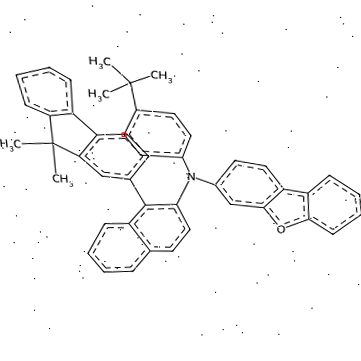 CC(C)(C)c1ccc(N(c2ccc3c(c2)oc2ccccc23)c2ccc3ccccc3c2-c2ccc3c(c2)C(C)(C)c2ccccc2-3)cc1